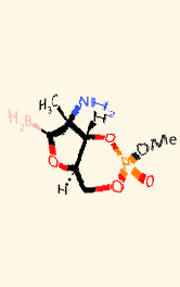 B[C@@H]1O[C@@H]2COP(=O)(OC)O[C@H]2[C@@]1(C)N